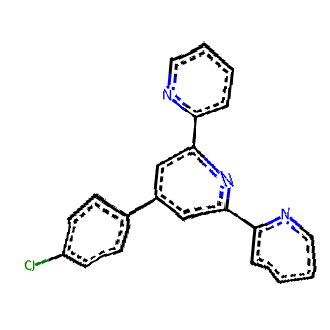 Clc1ccc(-c2cc(-c3ccccn3)nc(-c3ccccn3)c2)cc1